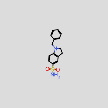 NS(=O)(=O)c1ccc2c(c1)CCN2Cc1ccccc1